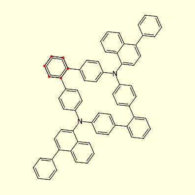 c1ccc(-c2ccc(N(c3ccc(-c4ccccc4-c4ccc(N(c5ccc(-c6ccccc6)cc5)c5ccc(-c6ccccc6)c6ccccc56)cc4)cc3)c3ccc(-c4ccccc4)c4ccccc34)cc2)cc1